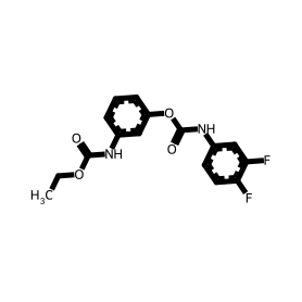 CCOC(=O)Nc1cccc(OC(=O)Nc2ccc(F)c(F)c2)c1